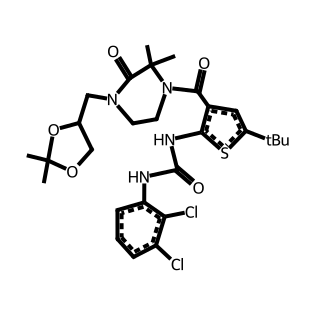 CC1(C)OCC(CN2CCN(C(=O)c3cc(C(C)(C)C)sc3NC(=O)Nc3cccc(Cl)c3Cl)C(C)(C)C2=O)O1